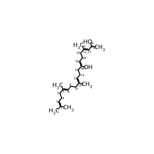 CC(C)=CCCC(C)=CCCC(C)=CCCC(O)=CCCC(C)=CC(C)O